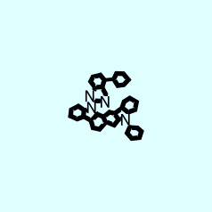 c1ccc(-c2cccc3nc(-n4c5ccccc5c5ccc6cc7c(cc6c54)c4ccccc4n7-c4ccccc4)ncc23)cc1